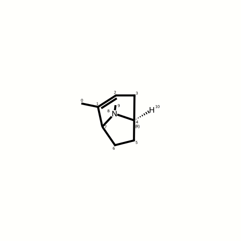 CC1=CC[C@H]2CCC1N2C